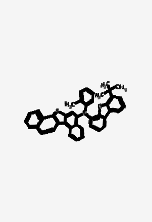 Cc1ccccc1N(c1cc2sc3c4ccccc4ccc3c2c2ccccc12)c1cccc2c1oc1c(C(C)(C)C)cccc12